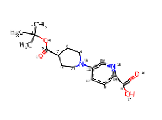 CC(C)(C)OC(=O)C1CCN(c2ccc(C(=O)O)nc2)CC1